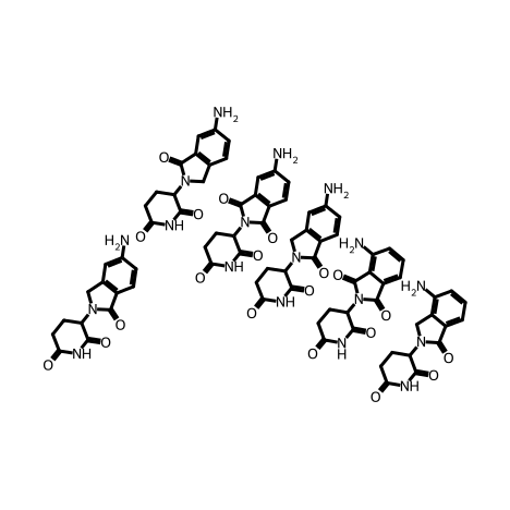 Nc1ccc2c(c1)C(=O)N(C1CCC(=O)NC1=O)C2.Nc1ccc2c(c1)C(=O)N(C1CCC(=O)NC1=O)C2=O.Nc1ccc2c(c1)CN(C1CCC(=O)NC1=O)C2=O.Nc1ccc2c(c1)CN(C1CCC(=O)NC1=O)C2=O.Nc1cccc2c1C(=O)N(C1CCC(=O)NC1=O)C2=O.Nc1cccc2c1CN(C1CCC(=O)NC1=O)C2=O